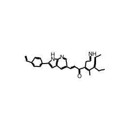 C=Cc1ccc(-c2cc3cc(/C=C/C(=O)/C(CC=N)=C(\C)C(=C=CC)CC)cnc3[nH]2)cc1